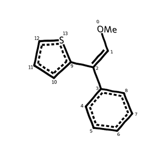 COC=C(c1ccccc1)c1cccs1